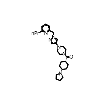 CCCc1cccc(Cn2cc(N3CCN(C(=O)[C@H]4CC[C@H](N5CCCC5)CC4)CC3)cn2)n1